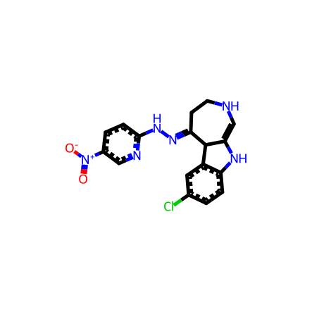 O=[N+]([O-])c1ccc(NN=C2CCNC=C3Nc4ccc(Cl)cc4C32)nc1